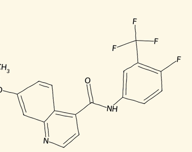 COc1ccc2c(C(=O)Nc3ccc(F)c(C(F)(F)F)c3)ccnc2c1